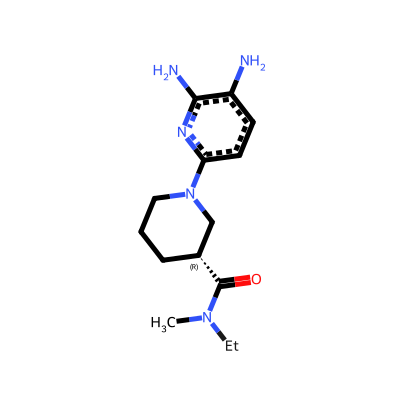 CCN(C)C(=O)[C@@H]1CCCN(c2ccc(N)c(N)n2)C1